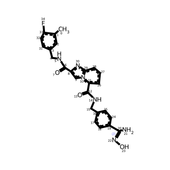 Cc1cc(CNC(=O)c2cn3c(C(=O)NCc4ccc(/C(N)=N/O)cc4)cccc3n2)ccc1F